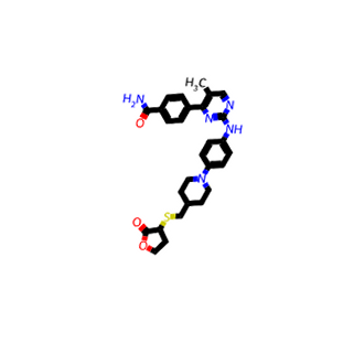 Cc1cnc(Nc2ccc(N3CCC(CSC4CCOC4=O)CC3)cc2)nc1-c1ccc(C(N)=O)cc1